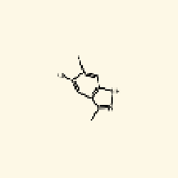 Cc1cc2[nH]nc(C)c2cc1Cl